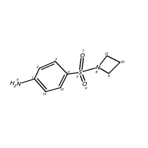 Nc1ccc(S(=O)(=O)N2CCC2)cc1